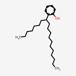 CCCCCCCCCCCC(CCCCCCC)c1ccccc1O